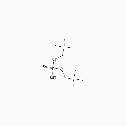 CC(C)(C)COP(O)(=S)OCC(C)(C)C